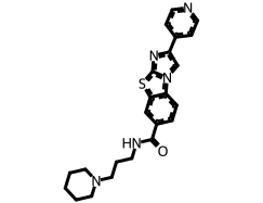 O=C(NCCCN1CCCCC1)c1ccc2c(c1)sc1nc(-c3ccncc3)cn12